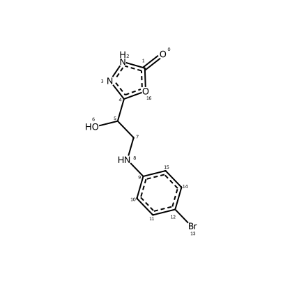 O=c1[nH]nc(C(O)CNc2ccc(Br)cc2)o1